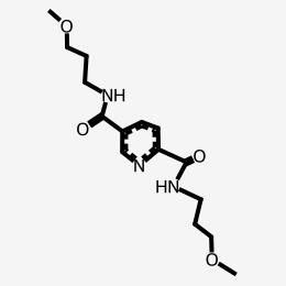 COCCCNC(=O)c1ccc(C(=O)NCCCOC)nc1